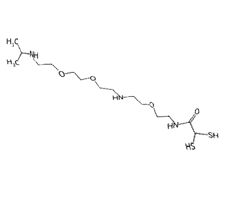 CC(C)NCCOCCOCCNCCOCCNC(=O)C(S)S